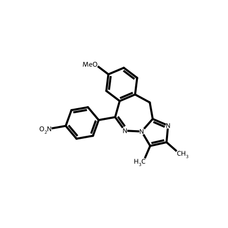 COc1ccc2c(c1)C(c1ccc([N+](=O)[O-])cc1)=Nn1c(nc(C)c1C)C2